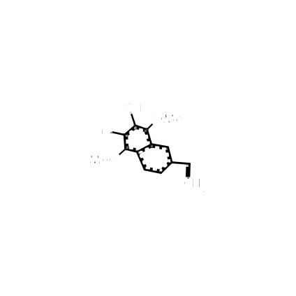 C=Cc1ccc2c(OC)c(Cl)c(C)c(OC)c2c1